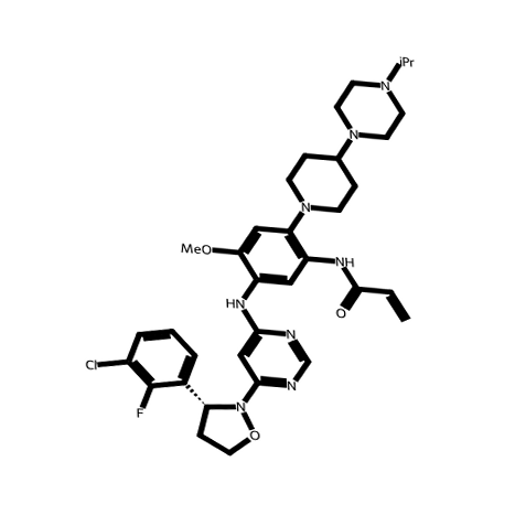 C=CC(=O)Nc1cc(Nc2cc(N3OCC[C@@H]3c3cccc(Cl)c3F)ncn2)c(OC)cc1N1CCC(N2CCN(C(C)C)CC2)CC1